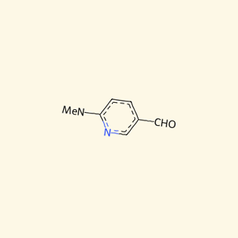 CNc1ccc(C=O)cn1